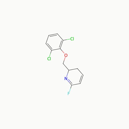 FC1=NC(COc2c(Cl)cccc2Cl)CC=C1